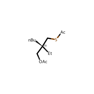 CCCC[C@@](CC)(COC(C)=O)CSC(C)=O